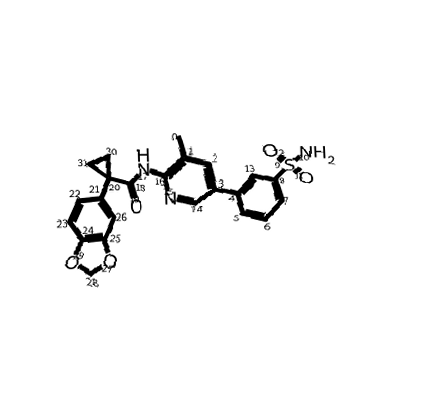 Cc1cc(-c2cccc(S(N)(=O)=O)c2)cnc1NC(=O)C1(c2ccc3c(c2)OCO3)CC1